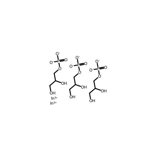 O=P([O-])([O-])OCC(O)CO.O=P([O-])([O-])OCC(O)CO.O=P([O-])([O-])OCC(O)CO.[In+3].[In+3]